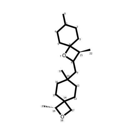 CC1CCC2(CC1)OC(CC1(C)CCC3(CC1)CO[C@@H]3C)[C@@H]2C